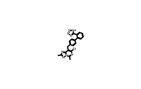 CCc1nc(C)n2nc(C)nc2c1Cc1ccc(-c2ccccc2-c2nnn[nH]2)cc1